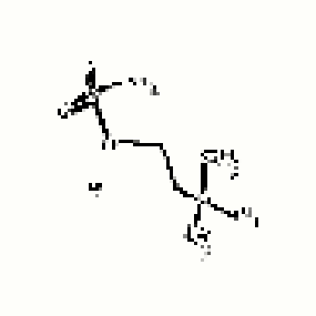 C[N+](C)(C)CCOS(=O)(=O)P.I